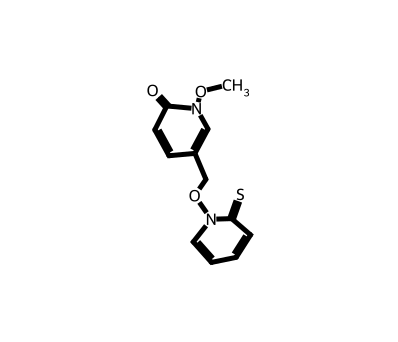 COn1cc(COn2ccccc2=S)ccc1=O